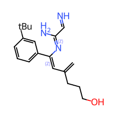 C=C(/C=C(\N=C(/N)C=N)c1cccc(C(C)(C)C)c1)CCCO